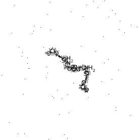 COc1cccc(OCC#Cc2ccc(C(N)C[C@@H](C)COC(=O)/C=C\C(=O)OC[C@H](C)CC(N)c3ccc(C#CCOc4cccc(OC)c4)s3)s2)c1